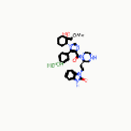 COC[C@]1(O)CCCC[C@H]1n1cnc(C(=O)N2CCNC[C@H]2CCn2c(=O)[nH]c3ccccc32)c1-c1ccccc1.Cl.Cl